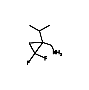 CC(C)C1(CN)CC1(F)F